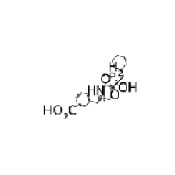 O=[PH2]C(O)(CC1CCCCC1)[C@@H]1CN[C@H](Cc2cccc(C(=O)O)c2)CO1